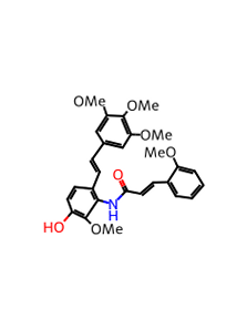 COc1ccccc1/C=C/C(=O)Nc1c(/C=C/c2cc(OC)c(OC)c(OC)c2)ccc(O)c1OC